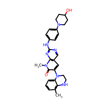 Cc1cccc2c1NCCN2c1cc2cnc(Nc3ccc(N4CCC(O)CC4)cc3)nc2n(C)c1=O